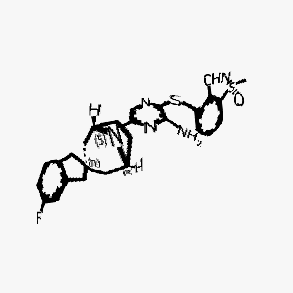 CS(=N)(=O)c1cccc(Sc2ncc(N3[C@@H]4CC[C@H]3C[C@]3(Cc5ccc(F)cc5C3)C4)nc2N)c1Cl